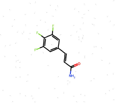 NC(=O)C=Cc1cc(F)c(F)c(F)c1